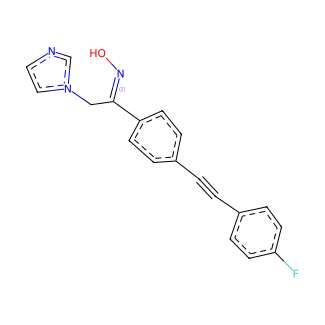 O/N=C(\Cn1ccnc1)c1ccc(C#Cc2ccc(F)cc2)cc1